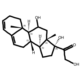 C[C@]12CCC=CC1=CC[C@@H]1[C@@H]2C(O)C[C@@]2(C)[C@H]1CC[C@]2(O)C(=O)CO